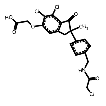 CC1(c2ccc(CNC(=O)CCl)cc2)Cc2cc(OCC(=O)O)c(Cl)c(Cl)c2C1=O